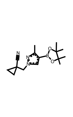 Cc1nn(CC2(C#N)CC2)cc1B1OC(C)(C)C(C)(C)O1